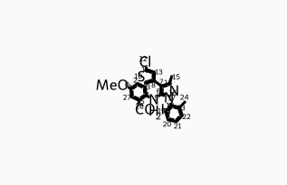 COc1ccc(Nc2c(-c3csc(Cl)c3)c(C)nn2-c2ccccc2C)c(C(=O)O)c1